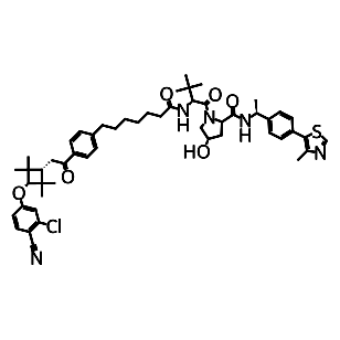 Cc1ncsc1-c1ccc([C@H](C)NC(=O)C2C[C@@H](O)CN2C(=O)[C@@H](NC(=O)CCCCCCc2ccc(C(=O)C[C@H]3C(C)(C)[C@H](Oc4ccc(C#N)c(Cl)c4)C3(C)C)cc2)C(C)(C)C)cc1